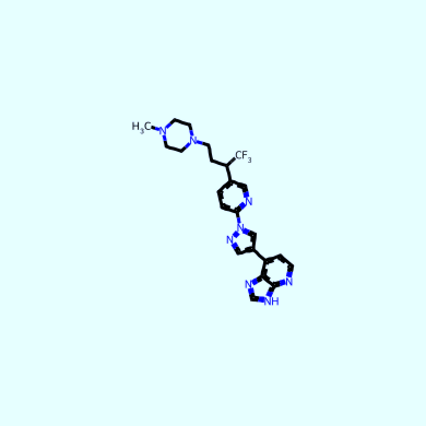 CN1CCN(CCC(c2ccc(-n3cc(-c4ccnc5[nH]cnc45)cn3)nc2)C(F)(F)F)CC1